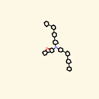 c1ccc(-c2ccc(-c3cccc(-c4ccc(N(c5ccc(-c6ccc(-c7cccc(-c8ccccc8)c7)cc6)cc5)c5ccc6c(c5)oc5ccccc56)cc4)c3)cc2)cc1